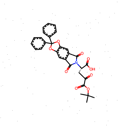 CC(C)(C)OC(=O)C(=O)C[C@@H](C(=O)O)N1C(=O)c2cc3c(cc2C1=O)OC(c1ccccc1)(c1ccccc1)O3